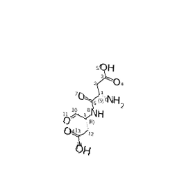 N[C@@H](CC(=O)O)C(=O)N[C@@H]([C]=O)CC(=O)O